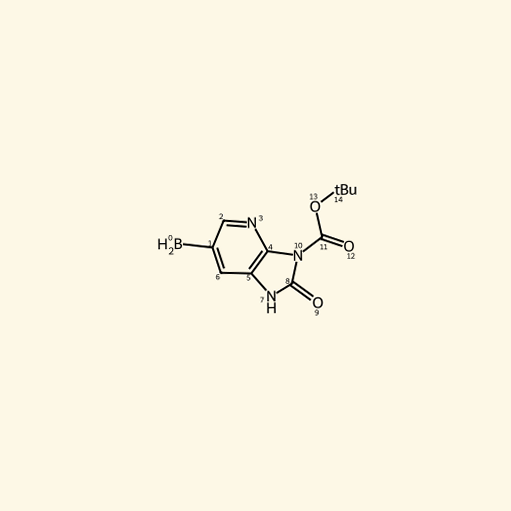 Bc1cnc2c(c1)[nH]c(=O)n2C(=O)OC(C)(C)C